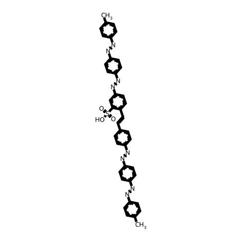 Cc1ccc(N=Nc2ccc(N=Nc3ccc(C=Cc4ccc(N=Nc5ccc(N=Nc6ccc(C)cc6)cc5)cc4S(=O)(=O)O)cc3)cc2)cc1